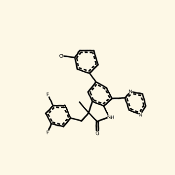 CC1(Cc2cc(F)cc(F)c2)C(=O)Nc2c(-c3cnccn3)cc(-c3cccc(Cl)c3)cc21